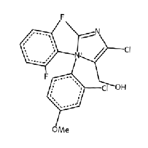 COc1ccc([N+]2(c3c(F)cccc3F)C(C)=NC(Cl)=C2CO)c(Cl)c1